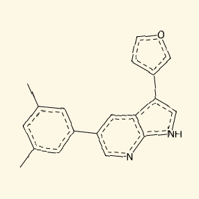 Cc1cc(C)cc(-c2cnc3[nH]cc(-c4ccoc4)c3c2)c1